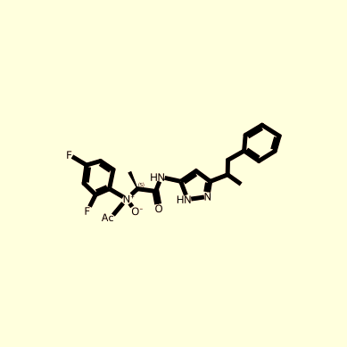 CC(=O)[N+]([O-])(c1ccc(F)cc1F)[C@@H](C)C(=O)Nc1cc(C(C)Cc2ccccc2)n[nH]1